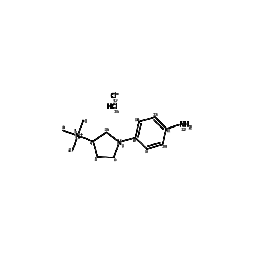 C[N+](C)(C)C1CCN(c2ccc(N)cc2)C1.Cl.[Cl-]